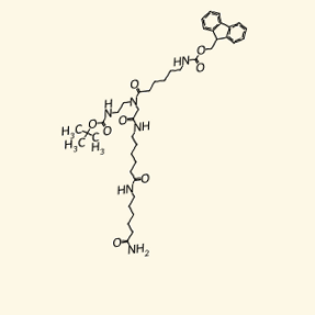 CC(C)(C)OC(=O)NCCN(CC(=O)NCCCCCC(=O)NCCCCCC(N)=O)C(=O)CCCCCNC(=O)OCC1c2ccccc2-c2ccccc21